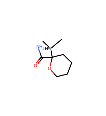 C[SiH](C)C1(C(N)=O)CCCCO1